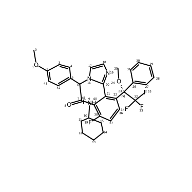 COc1ccc(C(C(=O)NC2CCCCC2)n2ccnc2-c2c([C@@](OC)(c3ccccc3)C(F)(F)F)ccc(F)c2F)cc1